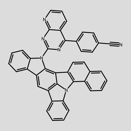 N#Cc1ccc(-c2nc(-n3c4ccccc4c4cc5c6ccccc6n6c7c8ccccc8ccc7c(c43)c56)nc3ncccc23)cc1